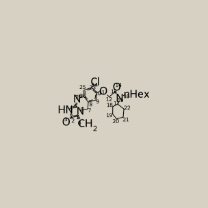 C=c1c(=O)[nH]c2n1Cc1cc(OCC(=O)N(CCCCCC)C3CCCCC3)c(Cl)cc1N=2